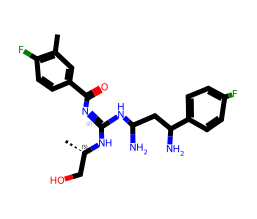 Cc1cc(C(=O)/N=C(\NC(N)CC(N)c2ccc(F)cc2)N[C@@H](C)CO)ccc1F